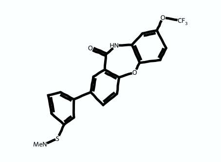 CNSc1cccc(-c2ccc3c(c2)C(=O)Nc2cc(OC(F)(F)F)ccc2O3)c1